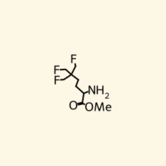 COC(=O)C(N)CCC(CF)(CF)CF